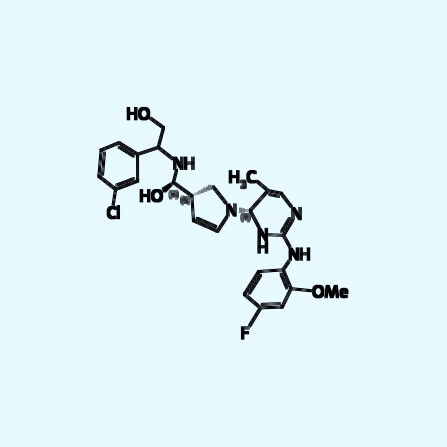 COc1cc(F)ccc1NC1=NC=C(C)[C@@H](N2C=C[C@H]([C@@H](O)NC(CO)c3cccc(Cl)c3)C2)N1